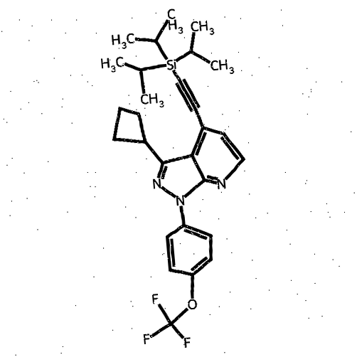 CC(C)[Si](C#Cc1ccnc2c1c(C1CCC1)nn2-c1ccc(OC(F)(F)F)cc1)(C(C)C)C(C)C